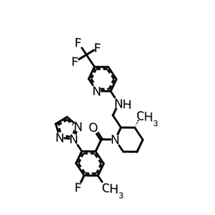 Cc1cc(C(=O)N2CCC[C@@H](C)C2CNc2ccc(C(F)(F)F)cn2)c(-n2nccn2)cc1F